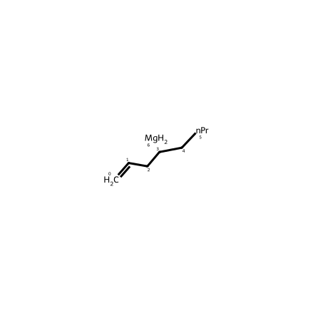 C=CCCCCCC.[MgH2]